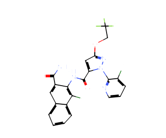 NC(=O)c1cc2ccccc2c(Cl)c1NC(=O)c1cc(OCC(F)(F)F)nn1-c1ncccc1Cl